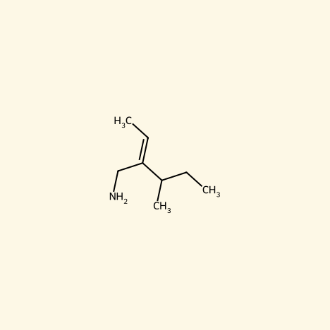 CC=C(CN)C(C)CC